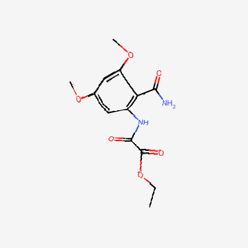 CCOC(=O)C(=O)Nc1cc(OC)cc(OC)c1C(N)=O